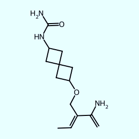 C=C(N)/C(=C/C)COC1CC2(CC(NC(N)=O)C2)C1